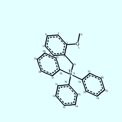 COc1ccccc1C[PH](c1ccccc1)(c1ccccc1)c1ccccc1